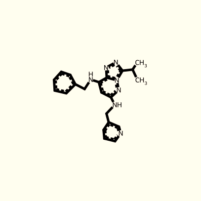 CC(C)c1nnc2c(NCc3ccccc3)cc(NCc3cccnc3)nn12